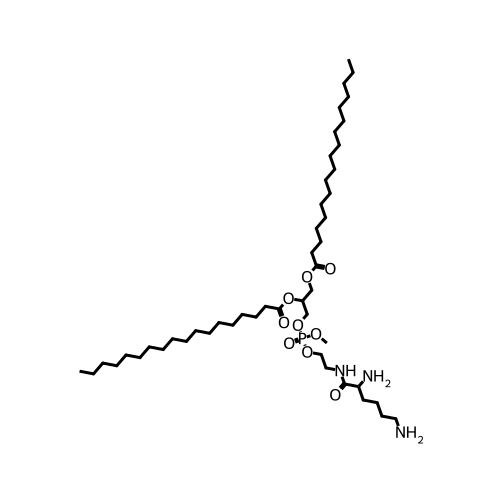 CCCCCCCCCCCCCCCCCC(=O)OCC(COP(=O)(OC)OCCNC(=O)C(N)CCCCN)OC(=O)CCCCCCCCCCCCCCCCC